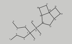 CCCC(C)(CCC)S(C)(C)C1CC2CCC23CCC13